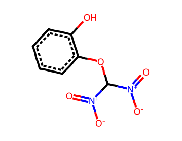 O=[N+]([O-])C(Oc1ccccc1O)[N+](=O)[O-]